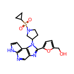 O=S(=O)(C1CC1)N1CCC(n2c(-c3ccc(CO)o3)nc3cnc4[nH]ccc4c32)C1